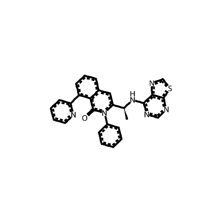 C[C@H](Nc1ncnc2scnc12)c1cc2cccc(-c3ccccn3)c2c(=O)n1-c1ccccc1